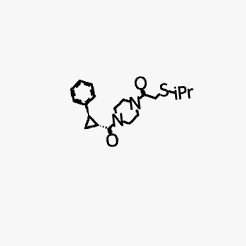 CC(C)SCC(=O)N1CCN(C(=O)[C@@H]2C[C@H]2c2ccccc2)CC1